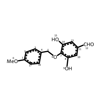 COc1ccc(COc2c(O)cc(C=O)cc2O)cc1